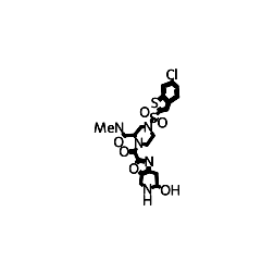 CNC(=O)C1CN(S(=O)(=O)c2cc3ccc(Cl)cc3s2)CCN1C(=O)c1nc2c(o1)CNC(O)C2